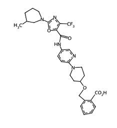 CC1CCCN(c2nc(C(F)(F)F)c(C(=O)Nc3ccc(N4CCC(OCc5ccccc5C(=O)O)CC4)nc3)o2)C1